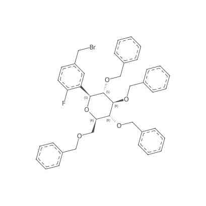 Fc1ccc(CBr)cc1[C@@H]1O[C@H](COCc2ccccc2)[C@@H](OCc2ccccc2)[C@H](OCc2ccccc2)[C@H]1OCc1ccccc1